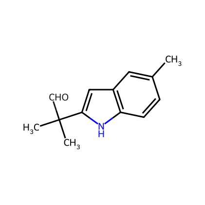 Cc1ccc2[nH]c(C(C)(C)C=O)cc2c1